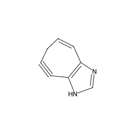 C1#Cc2[nH]cnc2C=CC1